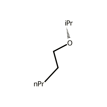 [CH2][C@@H](C)OCCCCC